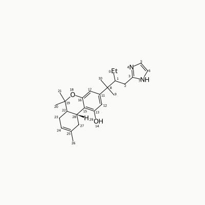 CCC(Cc1ncc[nH]1)C(C)(C)c1cc(O)c2c(c1)OC(C)(C)C1CC=C(C)C[C@@H]21